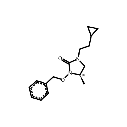 C[C@@H]1CN(CCC2CC2)C(=O)N1OCc1ccccc1